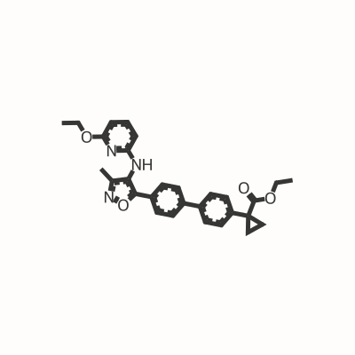 CCOC(=O)C1(c2ccc(-c3ccc(-c4onc(C)c4Nc4cccc(OCC)n4)cc3)cc2)CC1